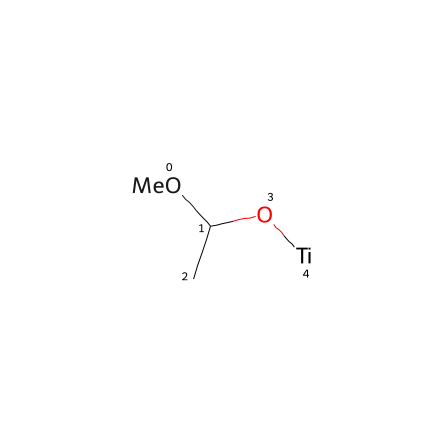 COC(C)[O][Ti]